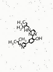 CC[C@H](N)CNc1ccnc(-c2cc(-c3cnn(CC(C)C)c3)ccc2O)n1